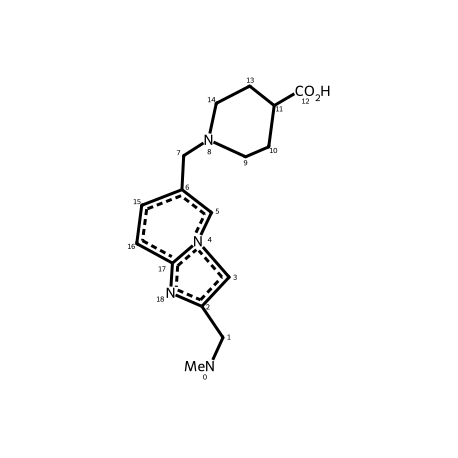 CNCc1cn2cc(CN3CCC(C(=O)O)CC3)ccc2n1